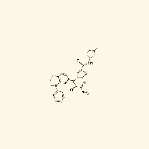 CN1CCC(NC(=O)c2cc3c(nc(N)c(=O)n3-c3ccc4c(c3)N(c3ccccc3)CCC4)s2)C1